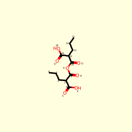 CCCC(C(=O)O)C(=O)OC(=O)C(CCC)C(=O)O